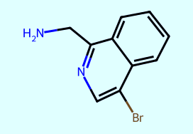 NCc1ncc(Br)c2ccccc12